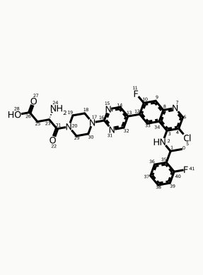 CC(Nc1c(Cl)cnc2cc(F)c(-c3cnc(N4CCN(C(=O)[C@@H](N)CC(=O)O)CC4)nc3)cc12)c1ccccc1F